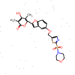 Cc1c(-c2cc3cc(OCc4cnc(S(=O)(=O)N5CCOCC5)s4)ccc3o2)oc(=O)c(C)c1O